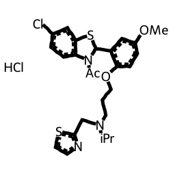 COc1ccc(OCCCN(Cc2nccs2)C(C)C)c(C2Sc3cc(Cl)ccc3N2C(C)=O)c1.Cl